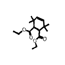 CCOC(=O)C1C(C(=O)OCC)C(C)(C)C=CC1(C)C